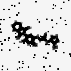 O=C(COc1cc(N2C(=O)C3=C(CCCC3)C2=O)c(F)cc1Cl)OC1COCC1O